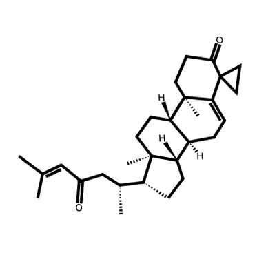 CC(C)=CC(=O)C[C@@H](C)[C@H]1CC[C@H]2[C@@H]3CC=C4C5(CC5)C(=O)CC[C@]4(C)[C@H]3CC[C@]12C